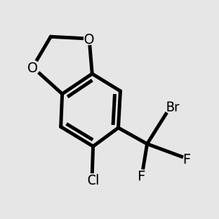 FC(F)(Br)c1cc2c(cc1Cl)OCO2